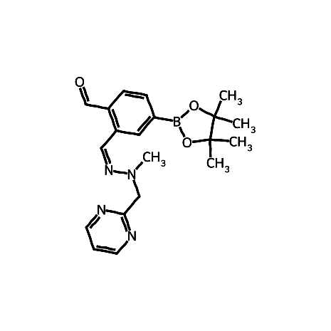 CN(Cc1ncccn1)/N=C\c1cc(B2OC(C)(C)C(C)(C)O2)ccc1C=O